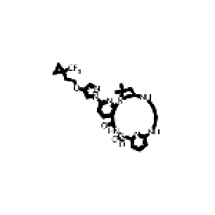 CC1(C)CC2CN1c1nc(-n3cc(OCCC4(C(F)(F)F)CC4)cn3)ccc1C(=O)NS(=O)(=O)c1cccc(n1)NCCCCN2